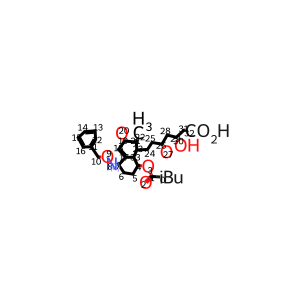 CCC(C)C(=O)OC1CC/C(=N/OCc2ccccc2)C2=CC(=O)C(C)C(CCC(=O)CC(O)CC(=O)O)C21